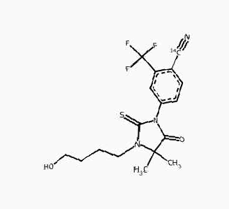 CC1(C)C(=O)N(c2ccc([14C]#N)c(C(F)(F)F)c2)C(=S)N1CCCCO